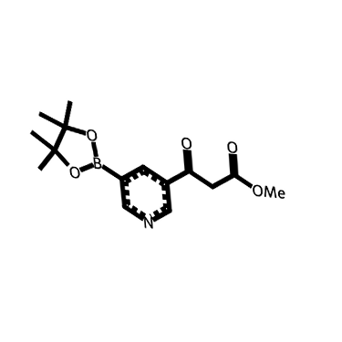 COC(=O)CC(=O)c1cncc(B2OC(C)(C)C(C)(C)O2)c1